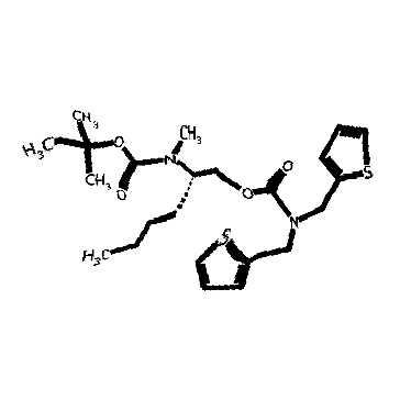 CCCC[C@@H](COC(=O)N(Cc1cccs1)Cc1cccs1)N(C)C(=O)OC(C)(C)C